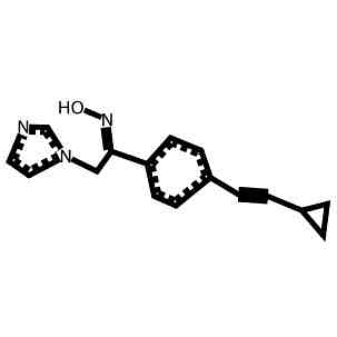 O/N=C(\Cn1ccnc1)c1ccc(C#CC2CC2)cc1